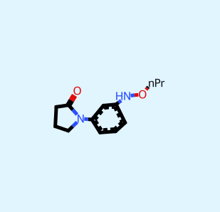 CCCONc1cccc(N2CCCC2=O)c1